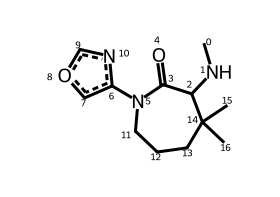 CNC1C(=O)N(c2cocn2)CCCC1(C)C